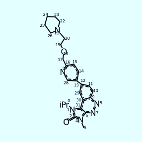 CC(C)n1c(=O)n(C)c2nnc3ccc(-c4ccc(COCCN5CCCCC5)nc4)cc3c21